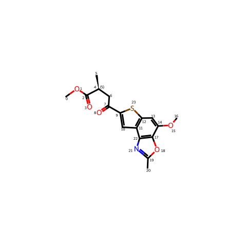 COC(=O)[C@@H](C)CC(=O)c1cc2c(cc(OC)c3oc(C)nc32)s1